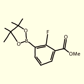 COC(=O)c1cccc(B2OC(C)(C)C(C)(C)O2)c1F